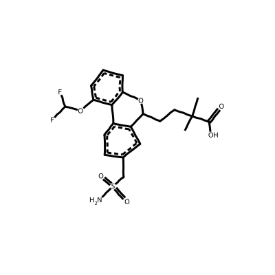 CC(C)(CCC1Oc2cccc(OC(F)F)c2-c2ccc(CS(N)(=O)=O)cc21)C(=O)O